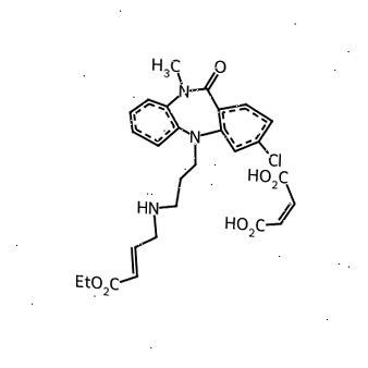 CCOC(=O)/C=C/CNCCCN1c2cc(Cl)ccc2C(=O)N(C)c2ccccc21.O=C(O)/C=C\C(=O)O